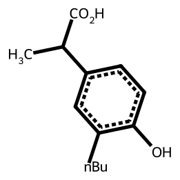 CCCCc1cc(C(C)C(=O)O)ccc1O